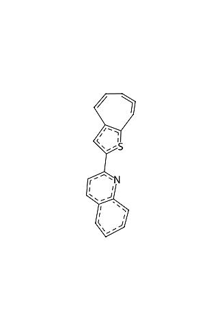 C1=CC=Cc2cc(-c3ccc4ccccc4n3)sc2C=1